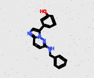 Oc1cccc(-c2cnc3ccc(NCc4ccccc4)nn23)c1